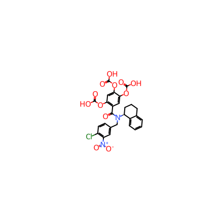 O=C(O)Oc1cc(OC(=O)O)c(C(=O)N(Cc2ccc(Cl)c([N+](=O)[O-])c2)[C@H]2CCCc3ccccc32)cc1OC(=O)O